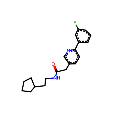 O=C(Cc1ccc(-c2cccc(F)c2)nc1)NCCC1CCCC1